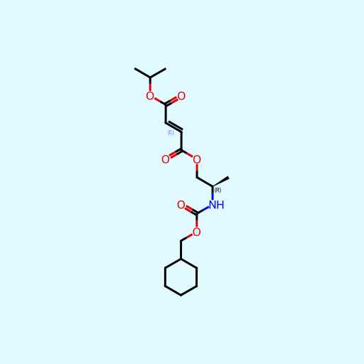 CC(C)OC(=O)/C=C/C(=O)OC[C@@H](C)NC(=O)OCC1CCCCC1